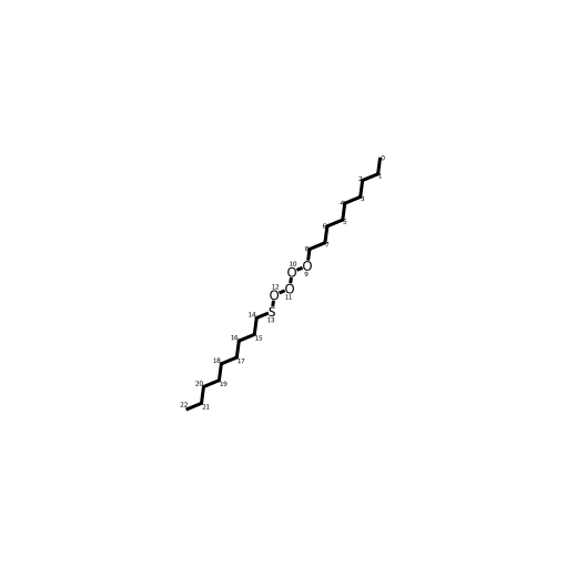 CCCCCCCCCOOOOSCCCCCCCCC